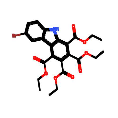 CCOC(=O)c1c(C(=O)OCC)c(C(=O)OCC)c2c([nH]c3ccc(Br)cc32)c1C(=O)OCC